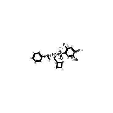 O=S(=O)(N[C@@H](CNc1ccccc1)C1CCC1)c1cc(Br)c(F)cc1F